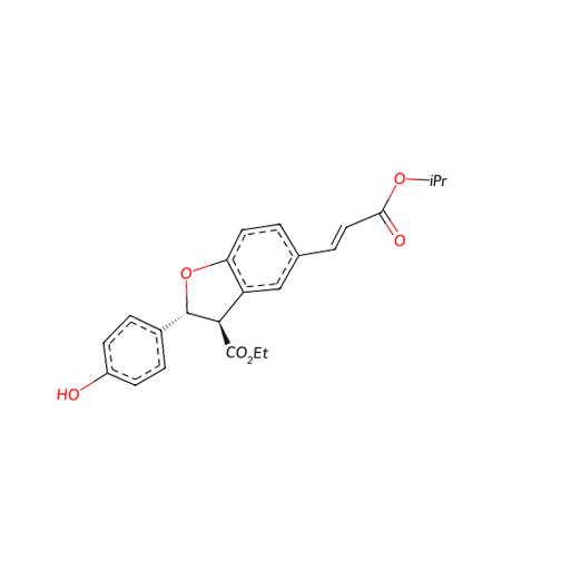 CCOC(=O)[C@@H]1c2cc(/C=C/C(=O)OC(C)C)ccc2O[C@H]1c1ccc(O)cc1